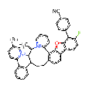 C=C1C2C(CCc3ccc4c(oc5c(-c6ccc(C#N)cc6)c(F)ccc54)c3-c3cccc[n+]31)c1ccccc1-c1ccc(C(C)(C)C)c[n+]12